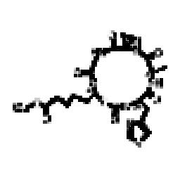 C[C@H]1NC(=O)[C@@H](Cc2cscn2)NC(=O)C[C@@H](CCCCC(=O)OC(C)(C)C)OC(=O)CNC(=O)C2(CC2)NC1=O